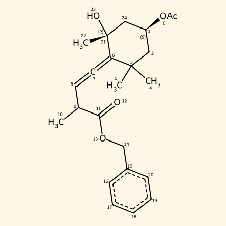 CC(=O)O[C@H]1CC(C)(C)C(=C=CC(C)C(=O)OCc2ccccc2)[C@](C)(O)C1